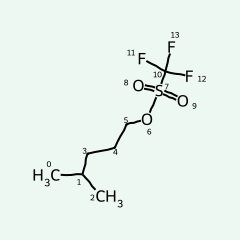 CC(C)CCCOS(=O)(=O)C(F)(F)F